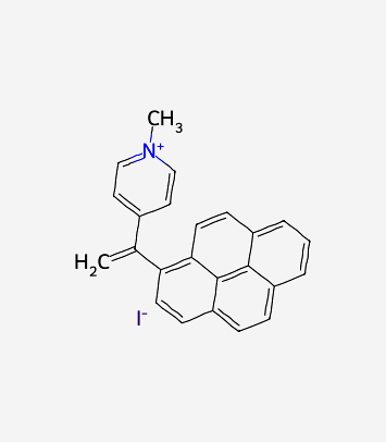 C=C(c1cc[n+](C)cc1)c1ccc2ccc3cccc4ccc1c2c34.[I-]